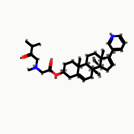 CC(C)C(=O)CN(C)CC(=O)O[C@H]1CC[C@@]2(C)C(=CC[C@@H]3C2CC[C@]2(C)C(c4cccnc4)=CC[C@@H]32)C1